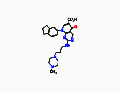 CN1CCN(CCCNc2ncc3c(=O)c(C(=O)O)cn(-c4ccc5c(c4)CCC5)c3n2)CC1